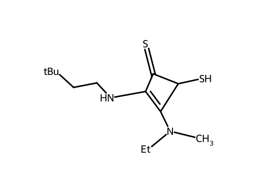 CCN(C)C1=C(NCCC(C)(C)C)C(=S)C1S